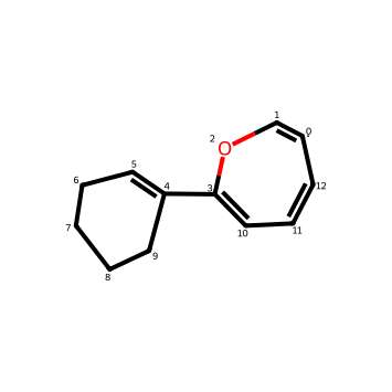 [C]1=COC(C2=CCCCC2)=CC=C1